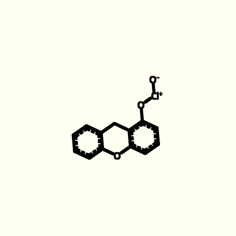 [O-][Cl+]Oc1cccc2c1Cc1ccccc1O2